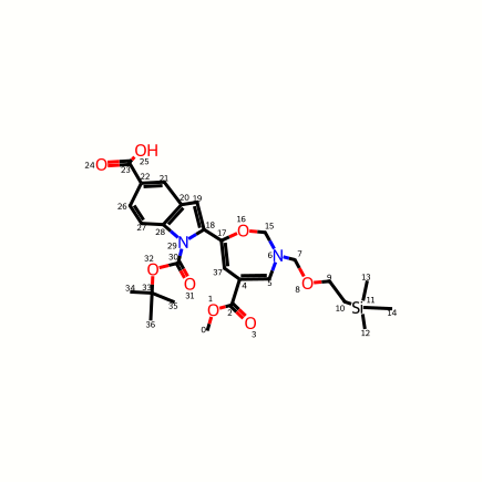 COC(=O)C1=CN(COCC[Si](C)(C)C)COC(c2cc3cc(C(=O)O)ccc3n2C(=O)OC(C)(C)C)=C1